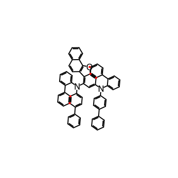 c1ccc(-c2ccc(N(c3cc(N(c4ccc(-c5ccccc5)cc4)c4ccccc4-c4ccccc4)c4c(c3)oc3c5ccccc5ccc34)c3ccccc3-c3ccccc3)cc2)cc1